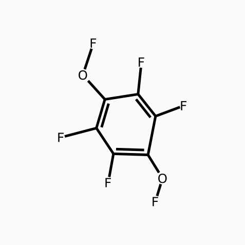 FOc1c(F)c(F)c(OF)c(F)c1F